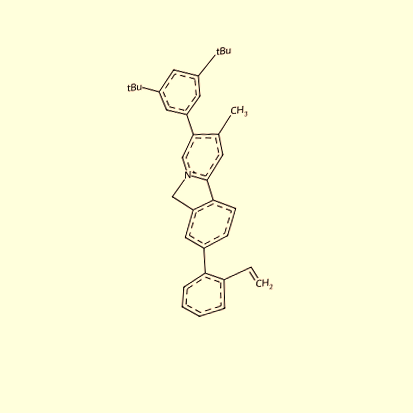 C=Cc1ccccc1-c1ccc2c(c1)C[n+]1cc(-c3cc(C(C)(C)C)cc(C(C)(C)C)c3)c(C)cc1-2